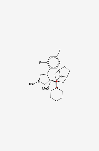 CSCC1(C2CCCCC2)CC2CCC(C1)N2C(=O)C1CN(C(C)(C)C)CC1c1ccc(F)cc1F